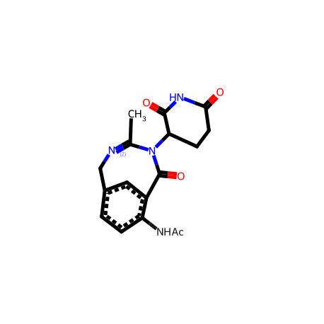 CC(=O)Nc1ccc2cc1C(=O)N(C1CCC(=O)NC1=O)/C(C)=N\C2